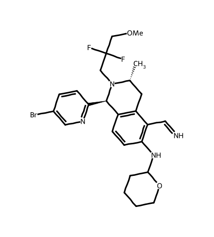 COCC(F)(F)CN1[C@H](c2ccc(Br)cn2)c2ccc(NC3CCCCO3)c(C=N)c2C[C@H]1C